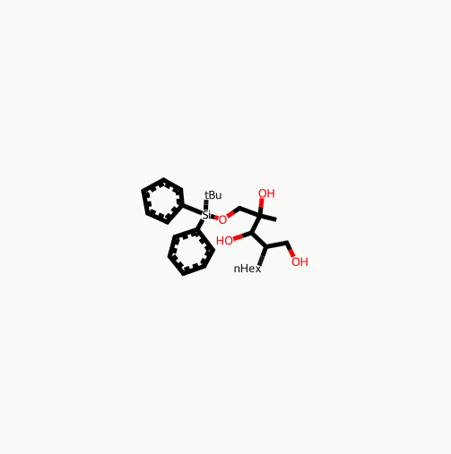 CCCCCCC(CO)C(O)C(C)(O)CO[Si](c1ccccc1)(c1ccccc1)C(C)(C)C